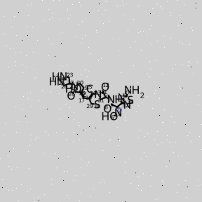 Nc1nc(/C(=N/O)C(=O)NC2C(=O)N3C(C(=O)O)=C(C=C4CCN(C5CNNC5)C4=O)CSC23)ns1